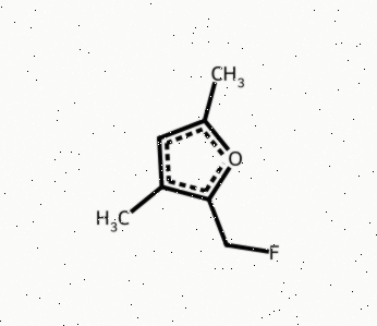 Cc1cc(C)c(CF)o1